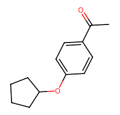 CC(=O)c1ccc(OC2CCCC2)cc1